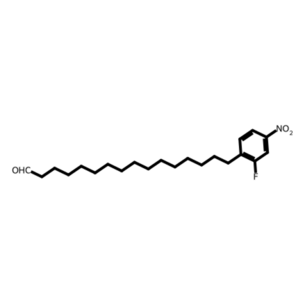 O=CCCCCCCCCCCCCCCCc1ccc([N+](=O)[O-])cc1F